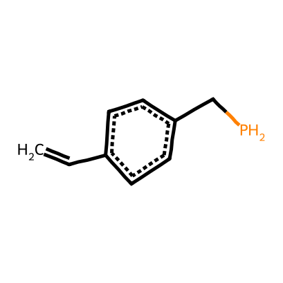 C=Cc1ccc(CP)cc1